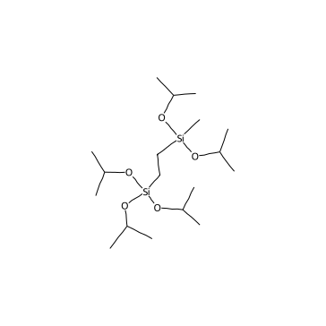 CC(C)O[Si](C)(CC[Si](OC(C)C)(OC(C)C)OC(C)C)OC(C)C